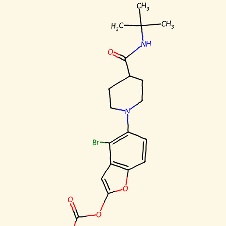 CC(C)(C)NC(=O)C1CCN(c2ccc3oc(OC(=O)O)cc3c2Br)CC1